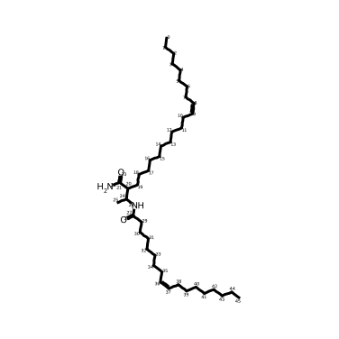 CCCCCCCC/C=C\CCCCCCCCCCC(C(N)=O)C(C)NC(=O)CCCCCCC/C=C\CCCCCCCC